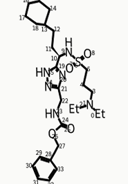 CCN(CC)CCCS(=O)(=O)N[C@H](CCC1CCCCC1)c1nc(CNC(=O)OCc2ccccc2)n[nH]1